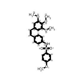 COc1ccc(S(=O)(=O)Nc2ccc(/C=C\c3cc(OC)c(OC)c(OC)c3)cc2)cc1